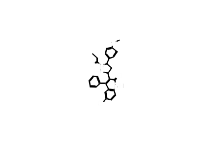 CCC(=O)N1NC(c2c(-c3ccccc3)c3cc(Cl)ccc3[nH]c2=O)CC1c1ccc(OC)cc1